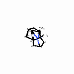 C[N+]1(C)C2CC34CCCCC3(C2)CC1C4